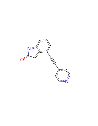 O=C1C=c2c(C#Cc3ccncc3)cccc2=N1